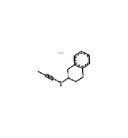 CC#CNC1CCc2ccccc2C1.Cl